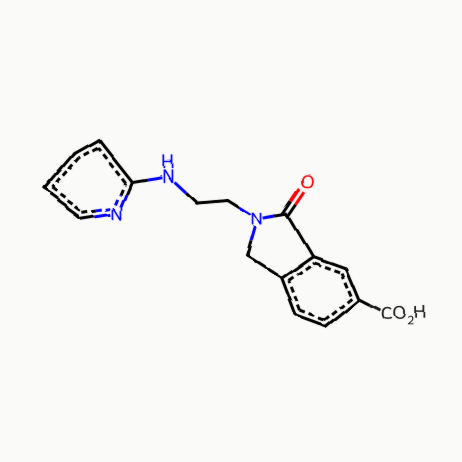 O=C(O)c1ccc2c(c1)C(=O)N(CCNc1ccccn1)C2